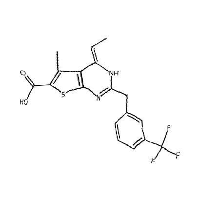 CC=C1NC(Cc2cccc(C(F)(F)F)c2)=Nc2sc(C(=O)O)c(C)c21